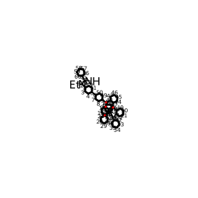 CCN1c2ccc(-c3ccc(-c4c5ccccc5c(-c5ccccc5[Si](c5ccccc5)(c5ccccc5)c5ccccc5)c5ccccc45)cc3)cc2NC1c1ccccc1